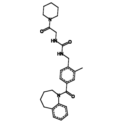 Cc1cc(C(=O)N2CCCCc3ccccc32)ccc1CNC(=O)NCC(=O)N1CCCCC1